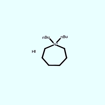 CCCC[N+]1(CCCC)CCCCCC1.I